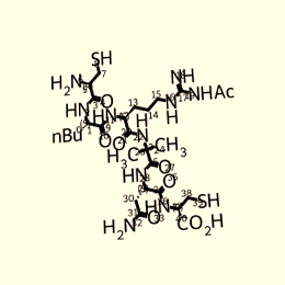 CCCC[C@H](NC(=O)[C@@H](N)CS)C(=O)N[C@@H](CCCNC(=N)NC(C)=O)C(=O)NC(C)(C)C(=O)N[C@@H](CC(N)=O)C(=O)N[C@@H](CS)C(=O)O